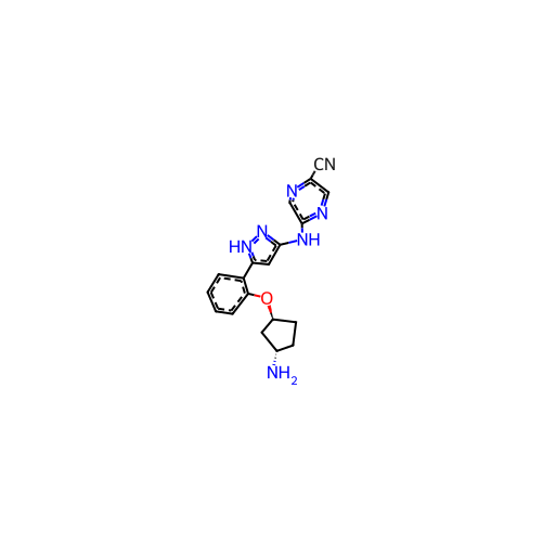 N#Cc1cnc(Nc2cc(-c3ccccc3O[C@H]3CC[C@H](N)C3)[nH]n2)cn1